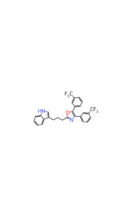 FC(F)(F)c1cccc(-c2nc(CCCc3c[nH]c4ccccc34)oc2-c2cccc(C(F)(F)F)c2)c1